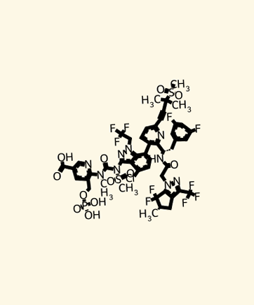 C[C@@H]1Cc2c(C(F)(F)F)nn(CC(=O)N[C@@H](Cc3cc(F)cc(F)c3)c3nc(C#CC(C)(C)S(C)(=O)=O)ccc3-c3ccc(Cl)c4c(N(C(=O)N(C)c5ncc(C(=O)O)cc5COP(=O)(O)O)S(C)(=O)=O)nn(CC(F)(F)F)c34)c2C1(F)F